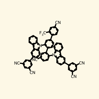 N#Cc1cc(C#N)cc(-c2ccc3c(c2)c2ccccc2n3-c2ccc(C#N)cc2-c2ccc(-c3ccc(C#N)cc3C(F)(F)F)cc2-n2c3ccccc3c3cc(-c4cc(C#N)cc(C#N)c4)ccc32)c1